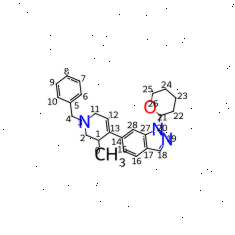 CC1CN(Cc2ccccc2)CC=C1c1ccc2cnn(C3CCCCO3)c2c1